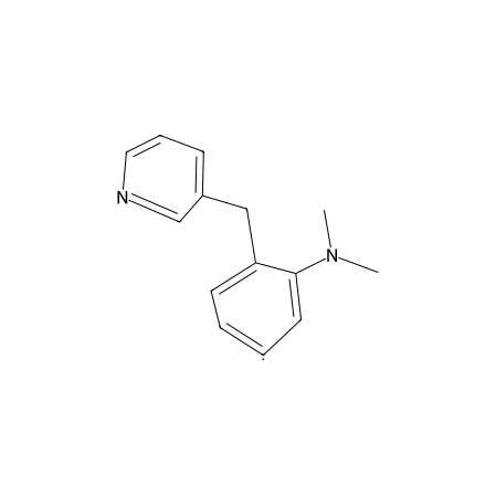 CN(C)c1c[c]ccc1Cc1cccnc1